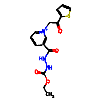 CCOC(=O)NNC(=O)c1ccc[n+](CC(=O)c2cccs2)c1